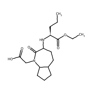 CCC[C@H](NC1CCC2CCCC2N(CC(=O)O)C1=O)C(=O)OCC